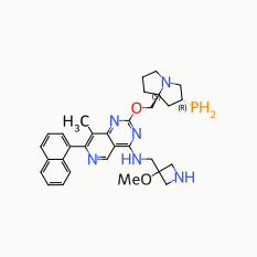 COC1(CNc2nc(OC[C@@]34CCCN3C[C@H](P)C4)nc3c(C)c(-c4cccc5ccccc45)ncc23)CNC1